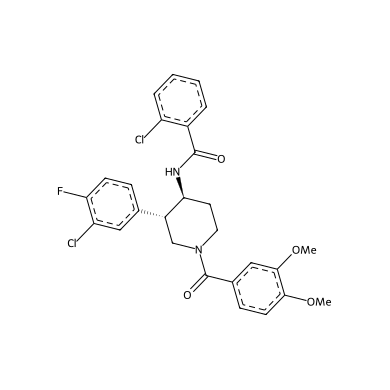 COc1ccc(C(=O)N2CC[C@H](NC(=O)c3ccccc3Cl)[C@@H](c3ccc(F)c(Cl)c3)C2)cc1OC